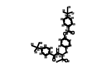 CC(=O)[C@H](Cc1ccc(OC(=O)c2ccc(C(C)(C)C)cc2)cc1)NC(=O)c1ccc(C(C)(C)C)cc1